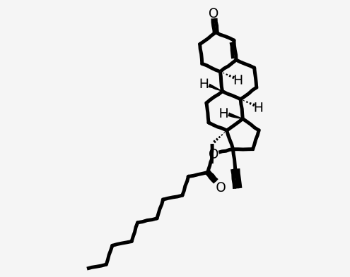 C#CC1(OC(=O)CCCCCCCCC)CC[C@H]2[C@@H]3CCC4=CC(=O)CC[C@@H]4[C@H]3CC[C@@]21CC